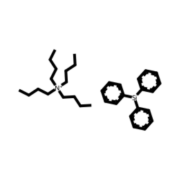 CCCC[N+](CCCC)(CCCC)CCCC.c1ccc([Si](c2ccccc2)c2ccccc2)cc1